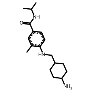 Cc1cc(C(=O)NC(C)C)ccc1NCC1CCC(N)CC1